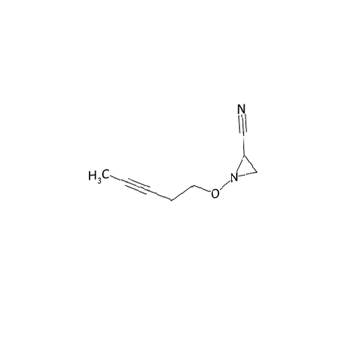 CC#CCCON1CC1C#N